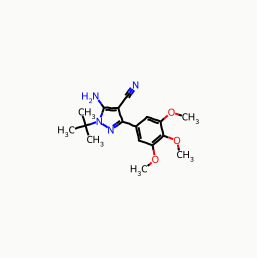 COc1cc(-c2nn(C(C)(C)C)c(N)c2C#N)cc(OC)c1OC